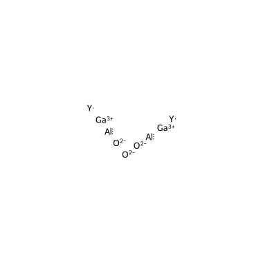 [Al].[Al].[Ga+3].[Ga+3].[O-2].[O-2].[O-2].[Y].[Y]